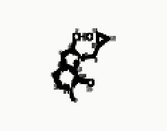 Cn1ccc2cc(C=O)n(CC3CC3)c2c1=O